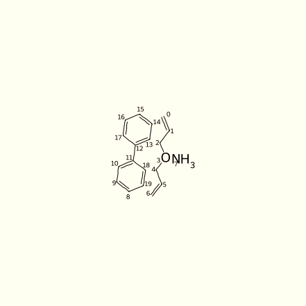 C=CCOCC=C.N.c1ccc(-c2ccccc2)cc1